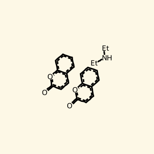 CCNCC.O=c1ccc2ccccc2o1.O=c1ccc2ccccc2o1